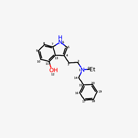 CCN(CCc1c[nH]c2cccc(O)c12)Cc1ccccc1